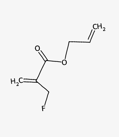 C=CCOC(=O)C(=C)CF